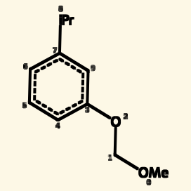 COCOc1cccc(C(C)C)c1